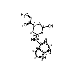 C=CC(=O)N1CC(C#N)C[C@@H](Nc2ncnc3[nH]ccc23)C1